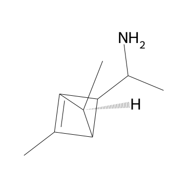 CC1=C2C(C(C)N)C1[C@@H]2C